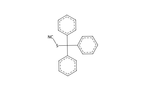 N#CSC(c1ccccc1)(c1ccccc1)c1ccccc1